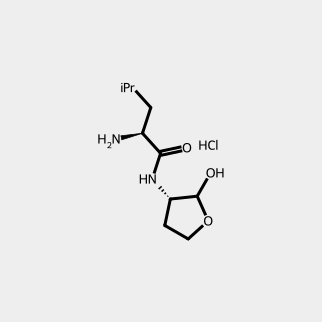 CC(C)C[C@H](N)C(=O)N[C@H]1CCOC1O.Cl